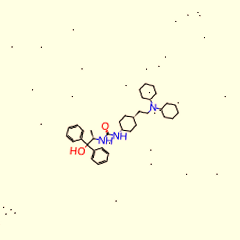 C[C@@H](NC(=O)N[C@H]1CC[C@H](CCN(C2CCCCC2)C2CCCCC2)CC1)C(O)(c1ccccc1)c1ccccc1